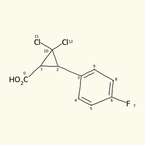 O=C(O)C1C(c2ccc(F)cc2)C1(Cl)Cl